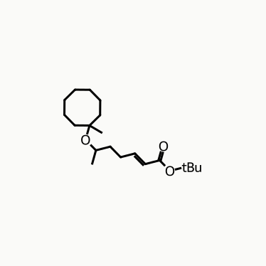 CC(CC/C=C/C(=O)OC(C)(C)C)OC1(C)CCCCCCC1